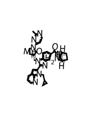 COc1cc(C(=O)N2C[C@H]3CC[C@@H]2[C@@H]3N)cc2nc(-c3cc4cccnc4n3CC3CC3)n(C[C@@H]3CCN(c4ccnc(C)n4)C3)c12